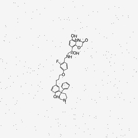 CN1CCC(c2ccccc2)(c2cc(CCCOc3ccc(CNC[C@H](O)c4ccc(O)c5c4OCC(=O)N5)c(F)c3)ccc2O)CC1